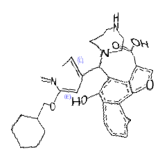 C=N/C(=C\C(=C/C)C(c1c(O)c2ccccc2c2occ(C(=O)O)c12)N1CCNCC1)OCC1CCCCC1